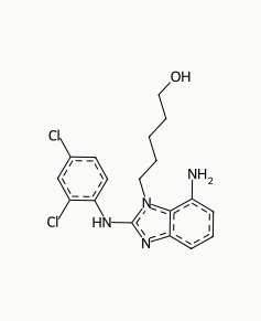 Nc1cccc2nc(Nc3ccc(Cl)cc3Cl)n(CCCCCO)c12